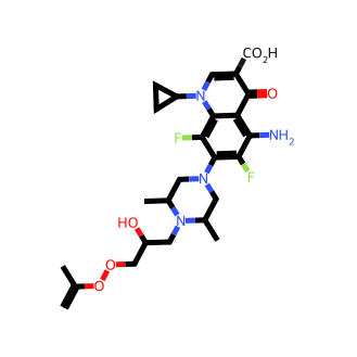 C=C(C)OOCC(O)CN1C(C)CN(c2c(F)c(N)c3c(=O)c(C(=O)O)cn(C4CC4)c3c2F)CC1C